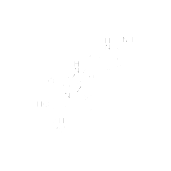 N=c1[nH]c(CC(=O)N[C@@H]2C(=O)N3C(C(=O)O)=C(CO)CS[C@@H]23)cs1